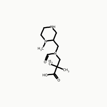 CN1CCNCC1CN(C=O)CC(C)(C)C(=O)O